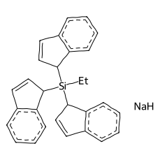 CC[Si](C1C=Cc2ccccc21)(C1C=Cc2ccccc21)C1C=Cc2ccccc21.[NaH]